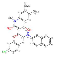 CCN1C(O)=C(C(=O)C(Cc2ccc(Cl)cc2)Nc2ccc3ccccc3c2)C(O)c2cc(OC)c(OC)cc21